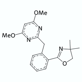 COc1cc(OC)nc(Cc2ccccc2C2=NC(C)(C)CO2)n1